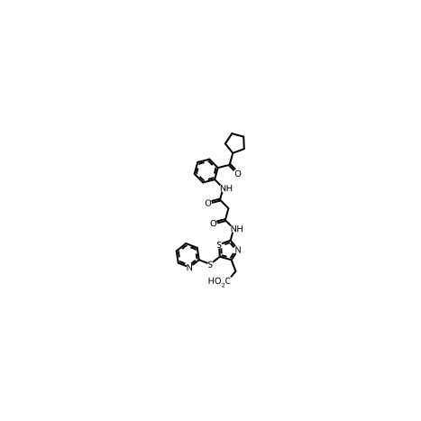 O=C(O)Cc1nc(NC(=O)CC(=O)Nc2ccccc2C(=O)C2CCCC2)sc1Sc1ccccn1